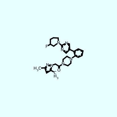 Cc1cc(C)n(CC(=O)N2CCN(c3ccccc3-c3cnc(N4CCCC(F)C4)nc3)CC2)n1